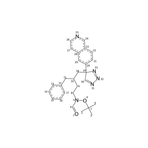 CC(C)(C)ON(C=O)CCC(Cc1ccccc1)CC1(c2ccc3cnccc3c2)C=NN=N1